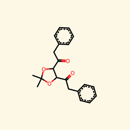 CC1(C)OC(C(=O)Cc2ccccc2)C(C(=O)Cc2ccccc2)O1